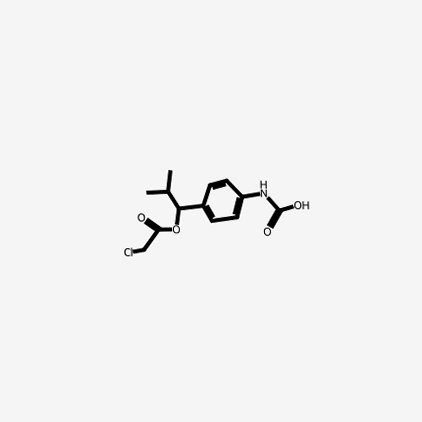 CC(C)C(OC(=O)CCl)c1ccc(NC(=O)O)cc1